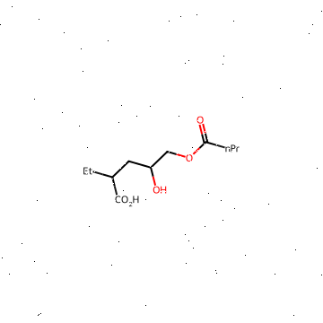 CCCC(=O)OCC(O)CC(CC)C(=O)O